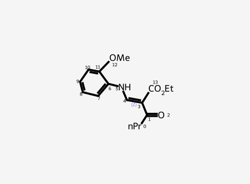 CCCC(=O)/C(=C/Nc1ccccc1OC)C(=O)OCC